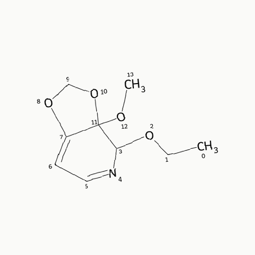 CCOC1N=CC=C2OCOC21OC